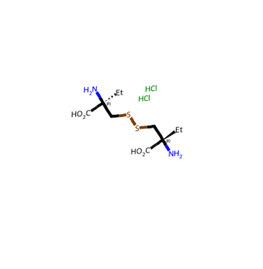 CC[C@](N)(CSSC[C@@](N)(CC)C(=O)O)C(=O)O.Cl.Cl